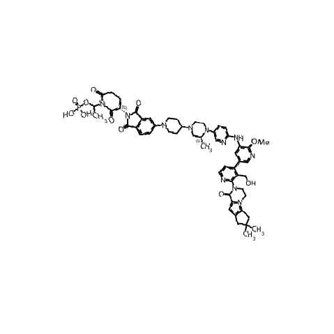 COc1ncc(-c2ccnc(N3CCn4c(cc5c4CC(C)(C)C5)C3=O)c2CO)cc1Nc1ccc(N2CCN(C3CCN(c4ccc5c(c4)C(=O)N([C@H]4CCC(=O)N(C(C)OP(=O)(O)O)C4=O)C5=O)CC3)C[C@@H]2C)cn1